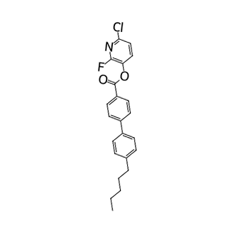 CCCCCc1ccc(-c2ccc(C(=O)Oc3ccc(Cl)nc3F)cc2)cc1